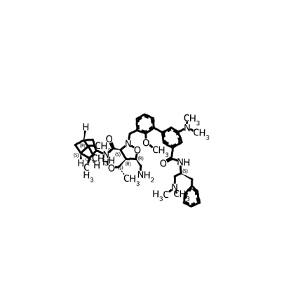 COc1c(CN2O[C@@H](CN)[C@@H]([C@H](C)O)[C@H]2C(=O)NC2C[C@H]3C[C@@H]([C@@H]2C)C3(C)C)cccc1-c1cc(C(=O)N[C@@H](Cc2ccccc2)CN(C)C)cc(N(C)C)c1